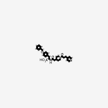 O=C(CC1CCN(C(=O)CCc2ccncc2)CC1)N[C@@H](Cc1ccc(OCc2ccccc2)cc1)C(=O)O